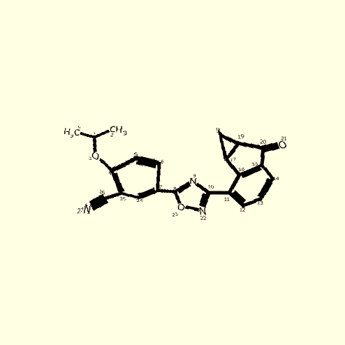 CC(C)Oc1ccc(-c2nc(-c3cccc4c3C3CC3C4=O)no2)cc1C#N